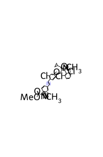 COC(=O)c1nn(C)c2cc(/C=C/c3ccc(OCC4=C(C5CC5)ON(C)C4c4c(Cl)cccc4Cl)cc3Cl)ccc12